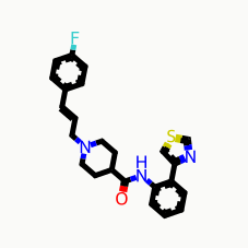 O=C(Nc1ccccc1-c1cscn1)C1CCN(C/C=C/c2ccc(F)cc2)CC1